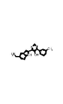 Cc1cccc(-c2ncnc(-c3cc4cc(CN)ccc4[nH]3)c2O)c1